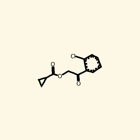 O=C(COC(=O)C1CC1)c1ccccc1Cl